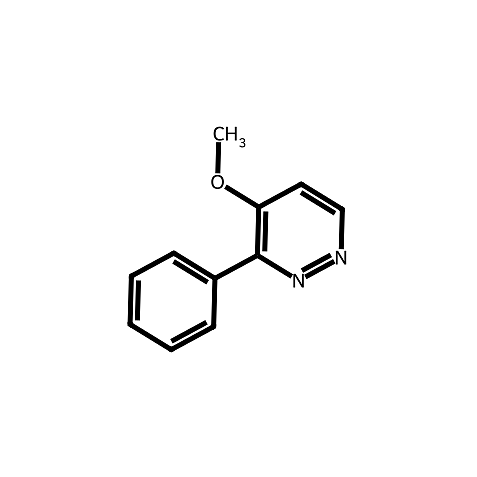 COc1ccnnc1-c1ccccc1